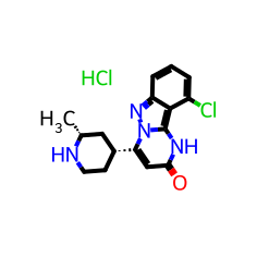 C[C@@H]1C[C@H](c2cc(=O)[nH]c3c4c(Cl)cccc4nn23)CCN1.Cl